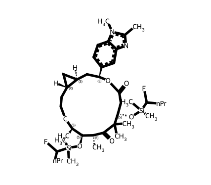 CCCC(F)[Si](C)(C)O[C@H]1[C@@H](C)CCC[C@@H]2C[C@H]2C[C@@H](c2ccc3c(c2)nc(C)n3C)OC(=O)C[C@H](O[Si](C)(C)C(F)CCC)C(C)(C)C(=O)[C@@H]1C